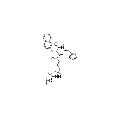 CN(CCc1cccs1)C(=O)[C@@H](Cc1ccc2ccccc2c1)N(C)C(=O)C=CCC(C)(C)NC(=O)OC(C)(C)C